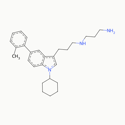 Cc1ccccc1-c1ccc2c(c1)c(CCCNCCCN)cn2C1CCCCC1